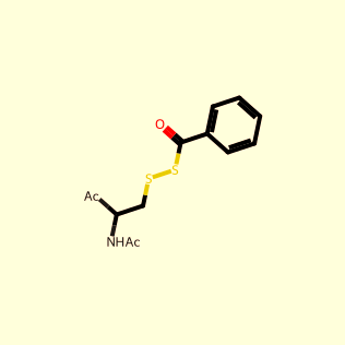 CC(=O)NC(CSSC(=O)c1ccccc1)C(C)=O